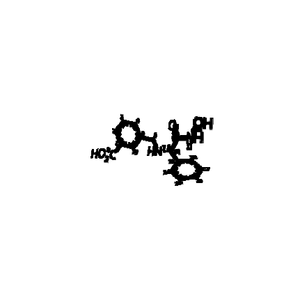 O=C(O)c1cccc(CN[C@H](C(=O)NO)c2ccccc2)c1